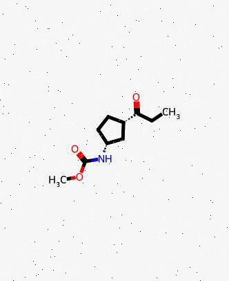 CCC(=O)[C@H]1CC[C@@H](NC(=O)OC)C1